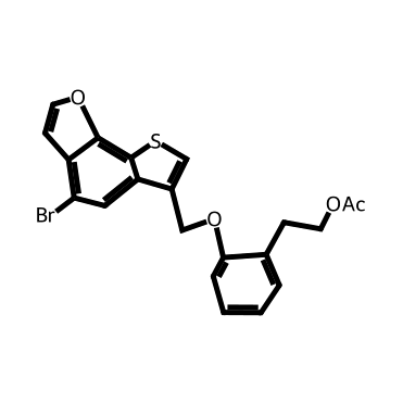 CC(=O)OCCc1ccccc1OCc1csc2c1cc(Br)c1ccoc12